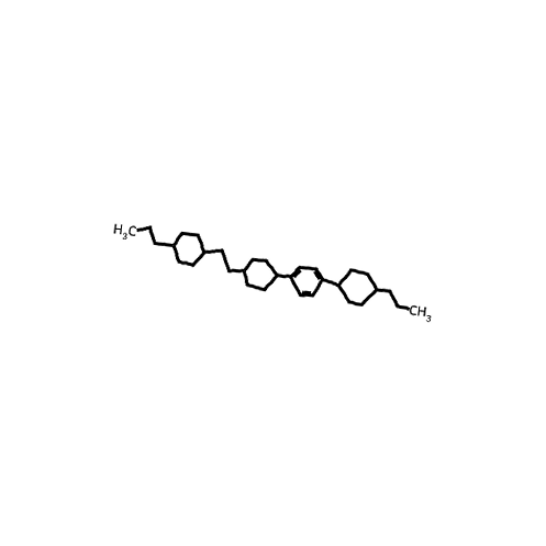 CCCC1CCC(CCC2CCC(c3ccc(C4CCC(CCC)CC4)cc3)CC2)CC1